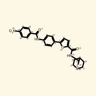 O=C(Nc1ccc(-c2ccc(C(=O)NC3CN4CCC3CC4)o2)cc1)c1ccc([N+](=O)[O-])cc1